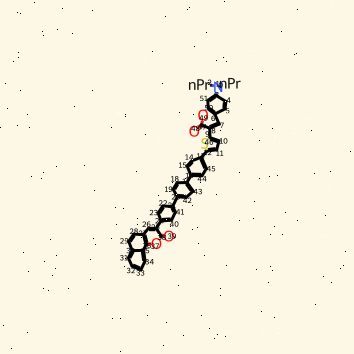 CCCN(CCC)c1ccc2cc(-c3ccc(-c4ccc(-c5ccc(-c6ccc(-c7cc8ccc9ccccc9c8oc7=O)cc6)cc5)cc4)s3)c(=O)oc2c1